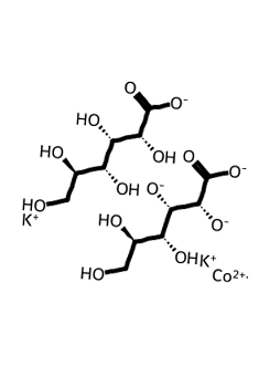 O=C([O-])[C@H](O)[C@@H](O)[C@H](O)[C@H](O)CO.O=C([O-])[C@H]([O-])[C@@H]([O-])[C@H](O)[C@H](O)CO.[Co+2].[K+].[K+]